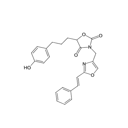 O=C1OC(CCCc2ccc(O)cc2)C(=O)N1Cc1coc(/C=C/c2ccccc2)n1